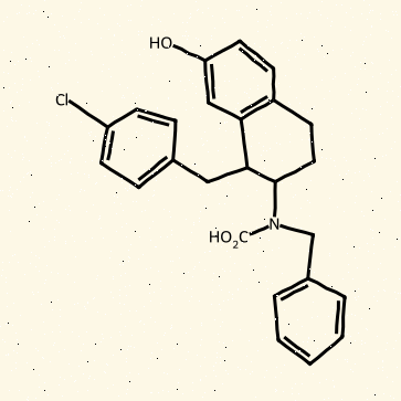 O=C(O)N(Cc1ccccc1)C1CCc2ccc(O)cc2C1Cc1ccc(Cl)cc1